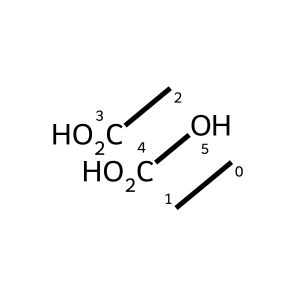 CC.CC(=O)O.O=C(O)O